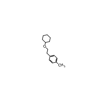 Cc1ccc(CCOC2CCCCC2)cc1